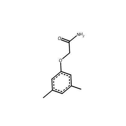 Cc1cc(C)cc(OCC(N)=O)c1